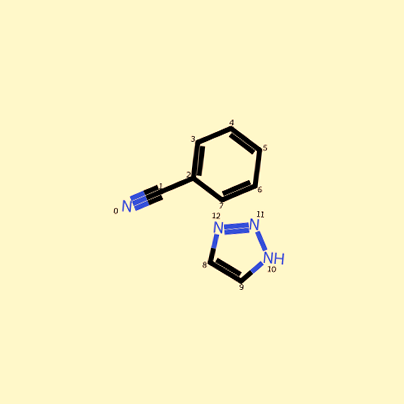 N#Cc1ccccc1.c1c[nH]nn1